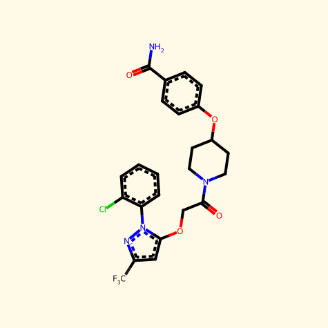 NC(=O)c1ccc(OC2CCN(C(=O)COc3cc(C(F)(F)F)nn3-c3ccccc3Cl)CC2)cc1